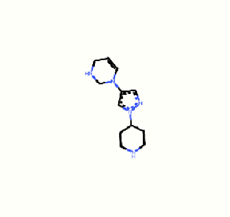 C1=CN(c2cnn(C3CCNCC3)c2)CNC1